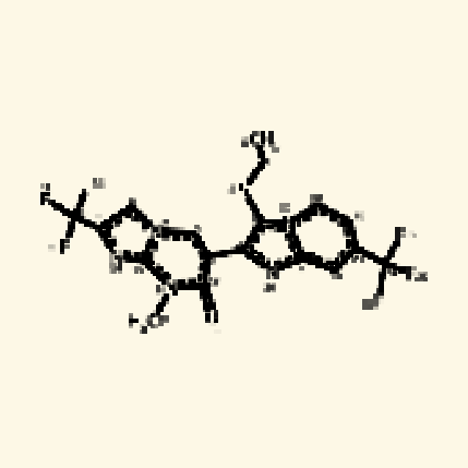 CCSc1c(-c2cn3cc(C(F)(F)F)nc3n(C)c2=O)nc2cc(C(F)(F)F)ccn12